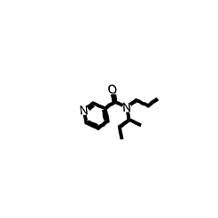 CCCN(C(=O)c1cccnc1)C(C)CC